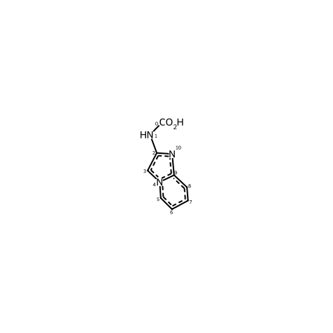 O=C(O)Nc1cn2ccccc2n1